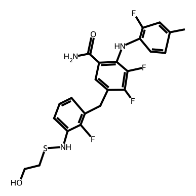 Cc1ccc(Nc2c(C(N)=O)cc(Cc3cccc(NSCCO)c3F)c(F)c2F)c(F)c1